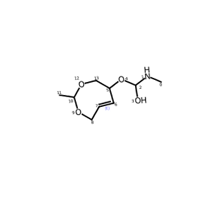 CNC(O)OC1/C=C/COC(C)OC1